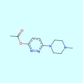 CC(=O)Oc1ccc(N2CCN(C)CC2)nn1